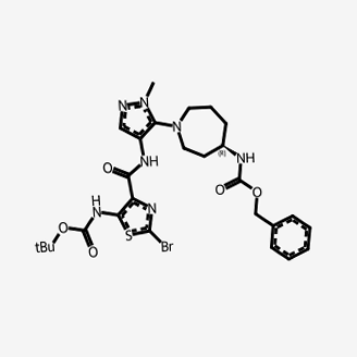 Cn1ncc(NC(=O)c2nc(Br)sc2NC(=O)OC(C)(C)C)c1N1CCC[C@@H](NC(=O)OCc2ccccc2)CC1